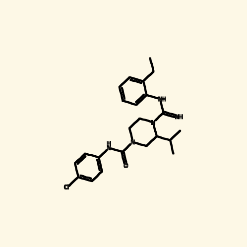 CCc1ccccc1NC(=N)N1CCN(C(=O)Nc2ccc(Cl)cc2)CC1C(C)C